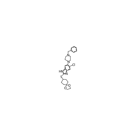 Clc1cc2nc(SC3CCC4(CC3)OCCO4)[nH]c2cc1N1CCN(Cc2ccccc2)CC1